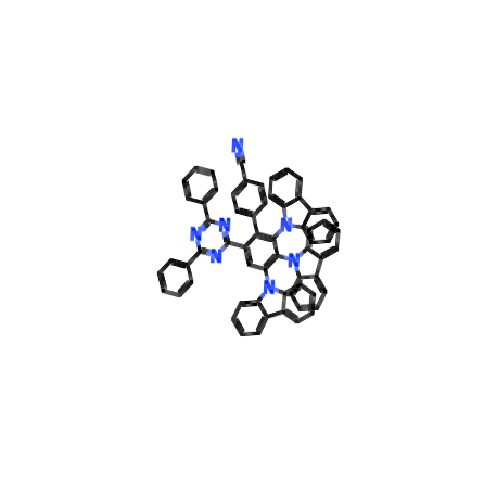 N#Cc1ccc(-c2c(-c3nc(-c4ccccc4)nc(-c4ccccc4)n3)cc(-n3c4ccccc4c4ccccc43)c(-n3c4ccccc4c4ccccc43)c2-n2c3ccccc3c3ccccc32)cc1